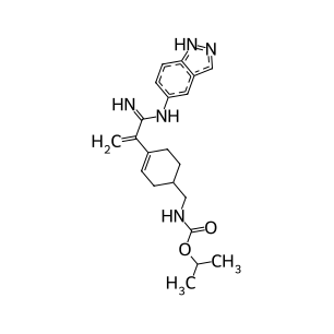 C=C(C(=N)Nc1ccc2[nH]ncc2c1)C1=CCC(CNC(=O)OC(C)C)CC1